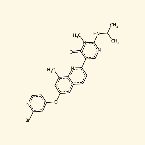 Cc1cc(Oc2ccnc(Br)c2)cc2ccc(-c3cnc(NC(C)C)n(C)c3=O)nc12